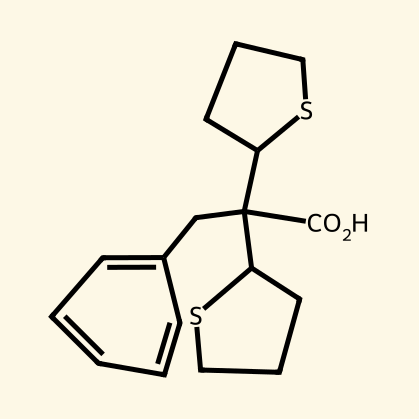 O=C(O)C(Cc1ccccc1)(C1CCCS1)C1CCCS1